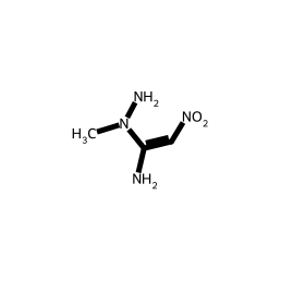 CN(N)C(N)=C[N+](=O)[O-]